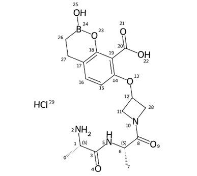 C[C@H](N)C(=O)N[C@@H](C)C(=O)N1CC(Oc2ccc3c(c2C(=O)O)OB(O)CC3)C1.Cl